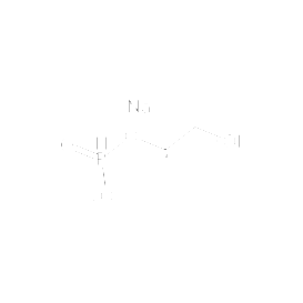 O=[PH]([O-])OCCO.[Na+]